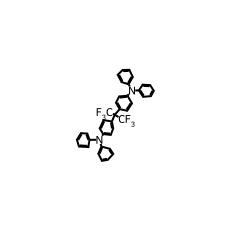 FC(F)(F)C(c1ccc(N(c2ccccc2)c2ccccc2)cc1)(c1ccc(N(c2ccccc2)c2ccccc2)cc1)C(F)(F)F